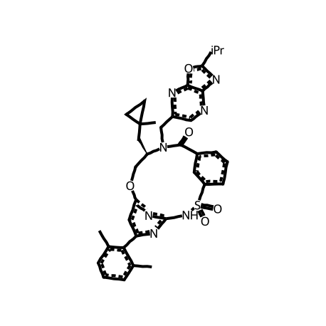 Cc1cccc(C)c1-c1cc2nc(n1)NS(=O)(=O)c1cccc(c1)C(=O)N(Cc1cnc3nc(C(C)C)oc3n1)[C@H](CC1(C)CC1)CO2